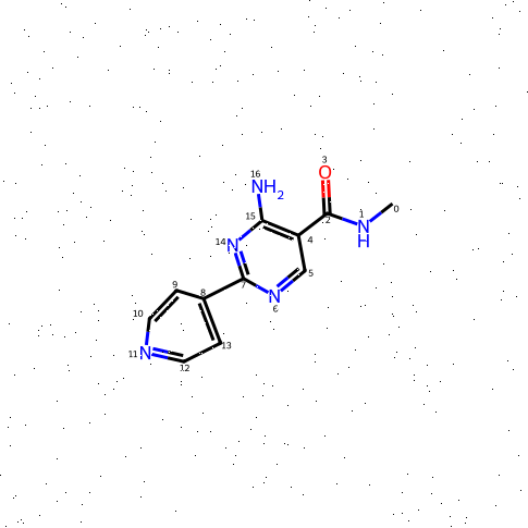 CNC(=O)c1cnc(-c2ccncc2)nc1N